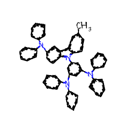 Cc1ccc2c(c1)c1cc(N(c3ccccc3)c3ccccc3)ccc1n2-c1cc(N(c2ccccc2)c2ccccc2)cc(N(c2ccccc2)c2ccccc2)c1